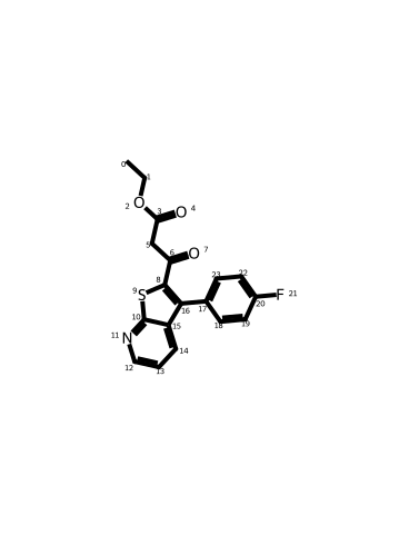 CCOC(=O)CC(=O)c1sc2ncccc2c1-c1ccc(F)cc1